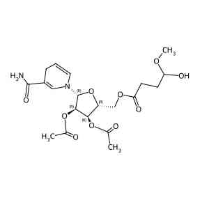 COC(O)CCC(=O)OC[C@H]1O[C@@H](N2C=CCC(C(N)=O)=C2)[C@H](OC(C)=O)[C@@H]1OC(C)=O